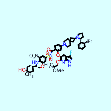 CO[C@@H](C)COc1nc2[nH]cc(F)c2cc1Oc1cc(N2CCC3(CC2)CC(N2CCC[C@@H]2c2ccccc2C(C)C)C3)ccc1C(=O)NS(=O)(=O)c1cc2c(c([N+](=O)[O-])c1)N[C@@H]([C@H]1CC[C@](C)(O)CC1)CO2